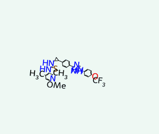 COc1cc(C)c(NC(=S)NC2CC2c2ccc(C(=N)/N=C\Nc3ccc(OC(F)(F)F)cc3)cc2)c(C)n1